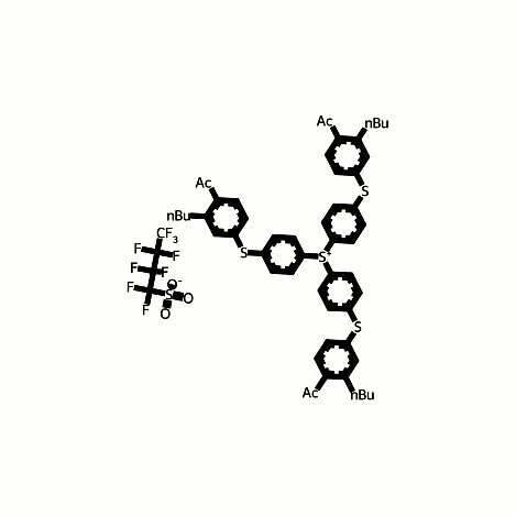 CCCCc1cc(Sc2ccc([S+](c3ccc(Sc4ccc(C(C)=O)c(CCCC)c4)cc3)c3ccc(Sc4ccc(C(C)=O)c(CCCC)c4)cc3)cc2)ccc1C(C)=O.O=S(=O)([O-])C(F)(F)C(F)(F)C(F)(F)C(F)(F)F